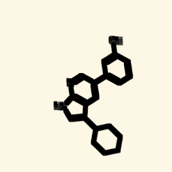 Oc1cccc(-c2cnc3[nH]cc(C4CCCCC4)c3c2)c1